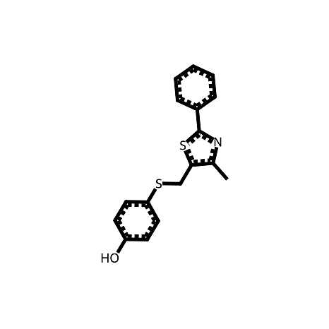 Cc1nc(-c2ccccc2)sc1CSc1ccc(O)cc1